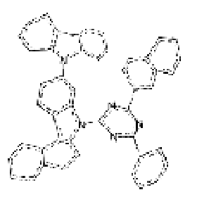 c1ccc(-c2nc(-c3ccc4ccccc4c3)nc(-n3c4cc(-n5c6ccccc6c6ccccc65)ccc4c4c5ccccc5ccc43)n2)cc1